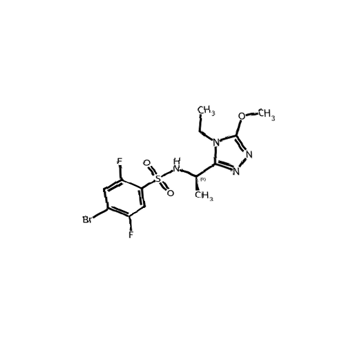 CCn1c(OC)nnc1[C@@H](C)NS(=O)(=O)c1cc(F)c(Br)cc1F